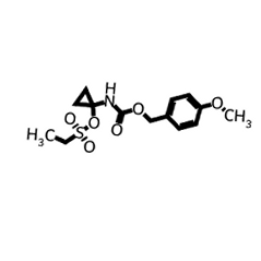 CCS(=O)(=O)OC1(NC(=O)OCc2ccc(OC)cc2)CC1